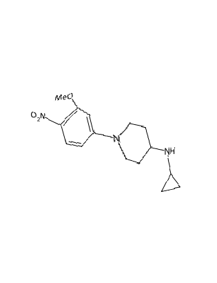 COc1cc(N2CCC(NC3CC3)CC2)ccc1[N+](=O)[O-]